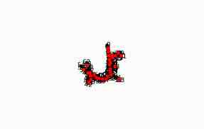 CCCCCCCCc1cc(-c2ccc(-c3cc(CCCCCC)c(-c4ccc(-c5ccc(-c6ccc7c(c6)-c6cc(C)ccc6C7(CCCCCCCC)CCCCCCCC)s5)s4)s3)c3nsnc23)sc1-c1ccc(-c2ccc(C)s2)s1